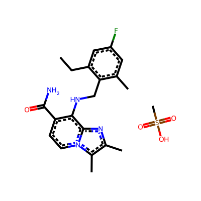 CCc1cc(F)cc(C)c1CNc1c(C(N)=O)ccn2c(C)c(C)nc12.CS(=O)(=O)O